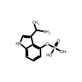 CC(N)c1c[nH]c2cccc(OP(=O)(O)O)c12